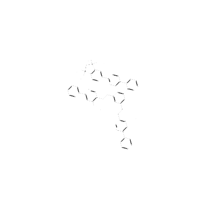 Cc1cc(-c2ccccc2)ncc1CCc1cc(CCc2cnc(-c3ccccc3)cc2C)cc(-c2ccccc2-c2ccc(-c3ccc4c(c3)C(C)(C)CC4(C)C)nc2)c1